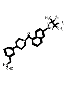 CC1(C)OB(c2ccc3c(C(=O)N4CCC(c5cccc(CNC=O)c5)CC4)cccc3c2)OC1(C)C